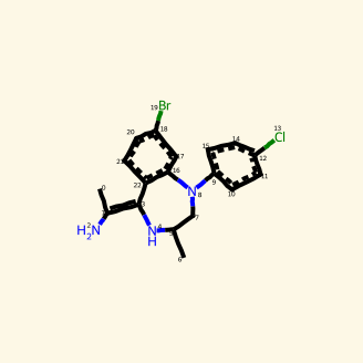 C/C(N)=C1/NC(C)CN(c2ccc(Cl)cc2)c2cc(Br)ccc21